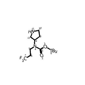 CC(C)(C)OC(=O)N(CCC(F)(F)F)C1CCNC1